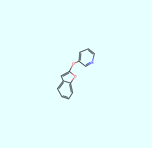 c1cncc(Oc2cc3ccccc3o2)c1